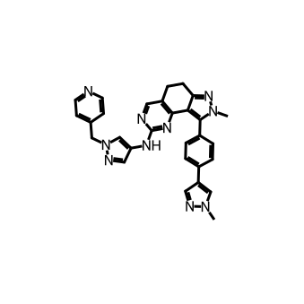 Cn1cc(-c2ccc(-c3c4c(nn3C)CCc3cnc(Nc5cnn(Cc6ccncc6)c5)nc3-4)cc2)cn1